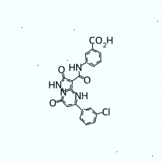 O=C(O)c1cccc(NC(=O)c2c(=O)[nH]n3c(=O)cc(-c4cccc(Cl)c4)[nH]c23)c1